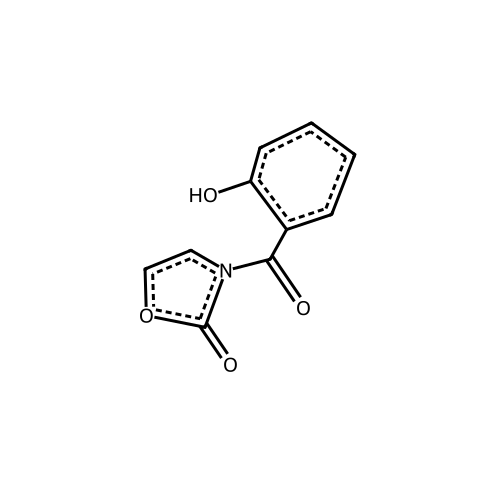 O=C(c1ccccc1O)n1ccoc1=O